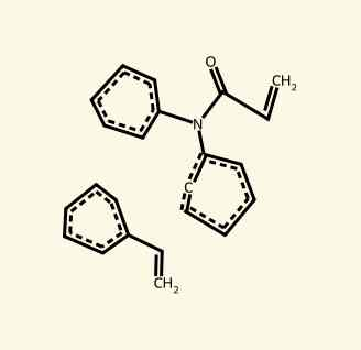 C=CC(=O)N(c1ccccc1)c1ccccc1.C=Cc1ccccc1